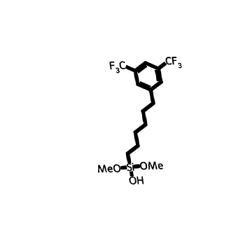 CO[Si](O)(CCCCCCc1cc(C(F)(F)F)cc(C(F)(F)F)c1)OC